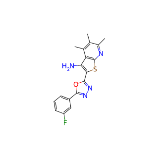 Cc1nc2sc(-c3nnc(-c4cccc(F)c4)o3)c(N)c2c(C)c1C